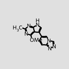 COc1nc(C)nc2[nH]cc(-c3ccc4nncn4c3)c12